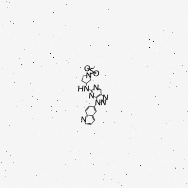 CS(=O)(=O)N1CCC(Nc2ncc3nnn(-c4ccc5ncccc5c4)c3n2)C1